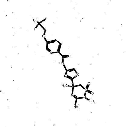 CN1C(N)=N[C@](C)(c2nc(NC(=O)c3cnc(OCC(C)(F)F)cn3)cs2)CS1(=O)=O